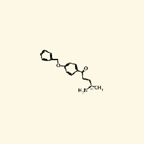 C[C@@H](N)CCC(=O)c1ccc(OCc2ccccc2)cc1